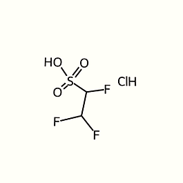 Cl.O=S(=O)(O)C(F)C(F)F